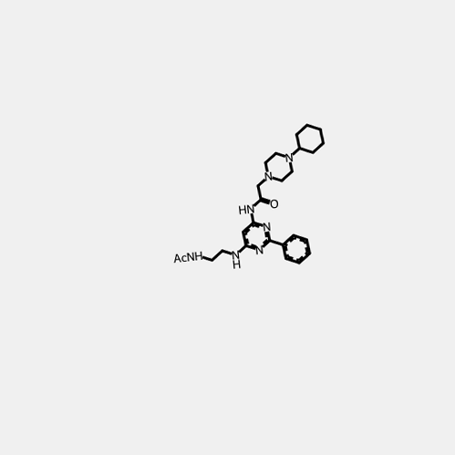 CC(=O)NCCNc1cc(NC(=O)CN2CCN(C3CCCCC3)CC2)nc(-c2ccccc2)n1